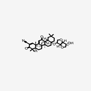 CC1(C)CC[C@]2(O[C@H]3CO[C@H]4[C@@H]3OC[C@H]4O)CC[C@]3(C)[C@H](C(=O)C=C4[C@@]5(C)C=C(C#N)C(=O)C(C)(C)[C@@H]5CC[C@]43C)[C@@H]2C1